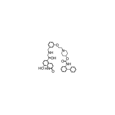 O=C(Nc1ccccc1-c1ccccc1)OC1CCN(CCOc2cccc(CNC[C@@H](O)c3ccc(O)c4[nH]c(=O)ccc34)c2)CC1